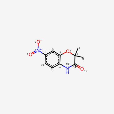 CC1(C)Oc2cc([N+](=O)[O-])ccc2NC1=O